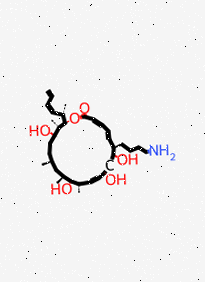 C=C/C=C\[C@H](C)[C@@H]1OC(=O)/C=C\C=C\[C@@H](CCCCN)[C@@H](O)C[C@H](O)/C=C\[C@H](C)[C@H](O)[C@@H](C)C[C@@H](C)CC[C@@H](O)[C@@H]1C